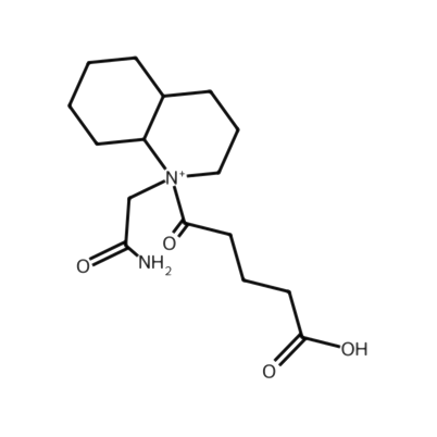 NC(=O)C[N+]1(C(=O)CCCC(=O)O)CCCC2CCCCC21